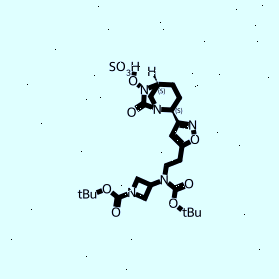 CC(C)(C)OC(=O)N1CC(N(CCc2cc([C@@H]3CC[C@H]4CN3C(=O)N4OS(=O)(=O)O)no2)C(=O)OC(C)(C)C)C1